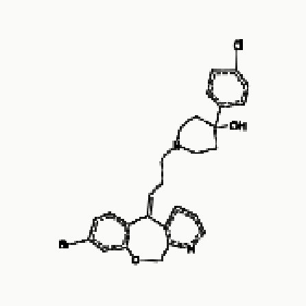 OC1(c2ccc(Cl)cc2)CCN(CCC=C2c3ccc(Br)cc3OCc3ncccc32)CC1